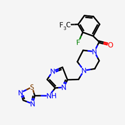 O=C(c1cccc(C(F)(F)F)c1F)N1CCN(Cc2cncc(Nc3ncns3)n2)CC1